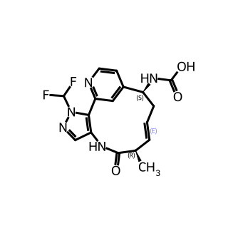 C[C@@H]1/C=C/C[C@H](NC(=O)O)c2ccnc(c2)-c2c(cnn2C(F)F)NC1=O